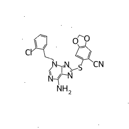 N#Cc1cc2c(cc1Sc1nc3c(N)ncn(CCc4ccccc4Cl)c-3n1)OCO2